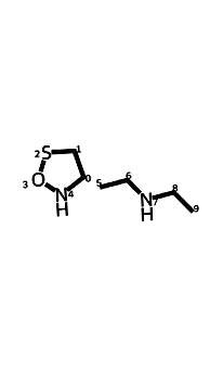 C1CSON1.CCNCC